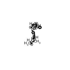 CC(=O)OCC(C)(C)OC(=O)NN=CN1CCC(CNC(=O)[C@@H]2CCCN2C(=O)[C@@H](Cc2ccccc2)NS(C)(=O)=O)CC1